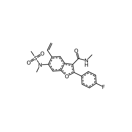 C=Cc1cc2c(C(=O)NC)c(-c3ccc(F)cc3)oc2cc1N(C)S(C)(=O)=O